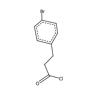 O=C(Cl)CCc1ccc(Br)cc1